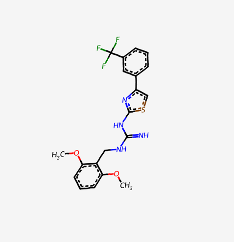 COc1cccc(OC)c1CNC(=N)Nc1nc(-c2cccc(C(F)(F)F)c2)cs1